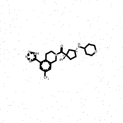 CC(C)[C@]1(C(=O)N2CCc3c(cc(C(F)(F)F)cc3-c3nnn[nH]3)C2)CC[C@@H](NC2CCOCC2)C1